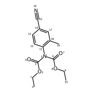 CCOC(=O)N(C(=O)OCC)c1ccc(C#N)cc1C